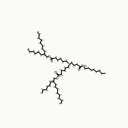 CCCCCCCCNC(=O)CCCN(CCCCCC(=O)OCC(CCCCCC)CCCCCCCC)CCCCCC(=O)OCC(CCCCCC)CCCCCCCC